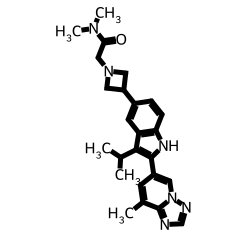 Cc1cc(-c2[nH]c3ccc(C4CN(CC(=O)N(C)C)C4)cc3c2C(C)C)cn2ncnc12